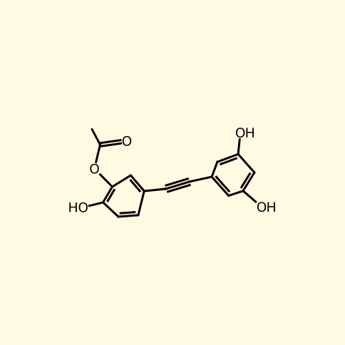 CC(=O)Oc1cc(C#Cc2cc(O)cc(O)c2)ccc1O